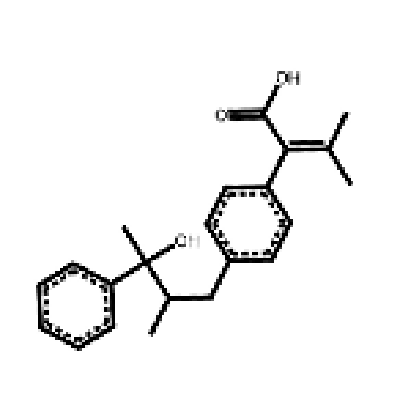 CC(C)=C(C(=O)O)c1ccc(CC(C)C(C)(O)c2ccccc2)cc1